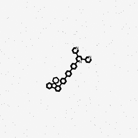 c1cncc(-c2cc(-c3ccc(-c4ccc(-c5ccc(-c6cccc7c6C6(CCCCC6)c6ccccc6-7)cc5)cc4)cc3)nc(-c3cccnc3)c2)c1